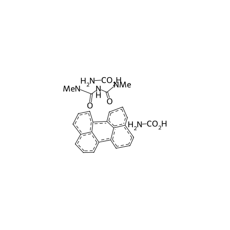 CNC(=O)NC(=O)NC.NC(=O)O.NC(=O)O.c1cc2cccc3c4cccc5cccc(c(c1)c23)c54